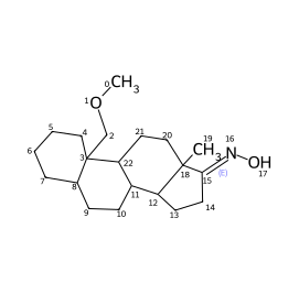 COCC12CCCCC1CCC1C3CC/C(=N\O)C3(C)CCC12